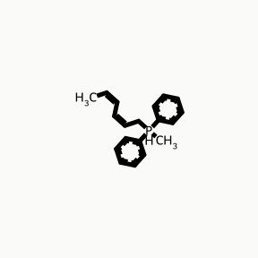 C/C=C\C=C/C[PH](C)(c1ccccc1)c1ccccc1